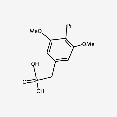 COc1cc(CP(=O)(O)O)cc(OC)c1C(C)C